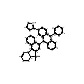 CC1(C)c2cc(-c3c4ccccc4c(-c4ccccc4)c4ccc(-c5ccco5)cc34)c3ccccc3c2C2C=CC=CC21